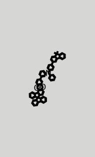 CC1(C)c2ccccc2-c2cc(-c3ccc(N(c4ccccc4)c4cccc(-c5ccc6c(c5)Oc5ccc7c(c5O6)-c5ccccc5C75c6ccccc6-c6ccccc65)c4)cc3)ccc21